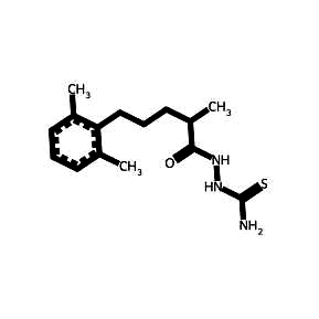 Cc1cccc(C)c1CCCC(C)C(=O)NNC(N)=S